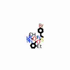 CCc1cccc(-n2nnn(C)c2=O)c1COc1nc(-c2ccc(Br)cc2)cs1